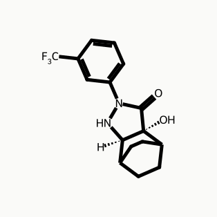 O=C1N(c2cccc(C(F)(F)F)c2)N[C@@H]2C3CCC(CC3)[C@]12O